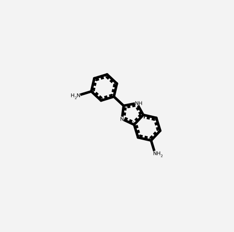 Nc1cccc(-c2nc3cc(N)ccc3[nH]2)c1